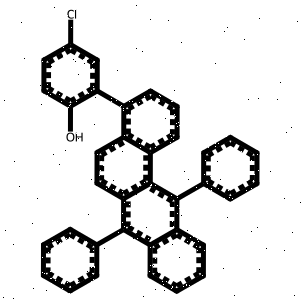 Oc1ccc(Cl)cc1-c1cccc2c1ccc1c(-c3ccccc3)c3ccccc3c(-c3ccccc3)c12